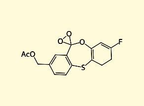 CC(=O)OCc1ccc2c(c1)C1(OO1)OC1=C(CCC(F)=C1)S2